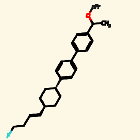 CCCOC(C)c1ccc(-c2ccc([C@H]3CC[C@H](C=CCCF)CC3)cc2)cc1